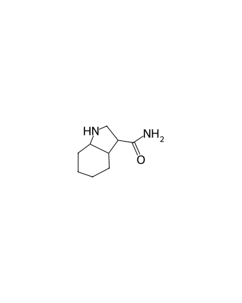 NC(=O)C1CNC2CCCCC21